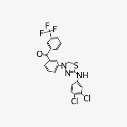 O=C(c1cccc(N2CSC(Nc3ccc(Cl)c(Cl)c3)=N2)c1)c1cccc(C(F)(F)F)c1